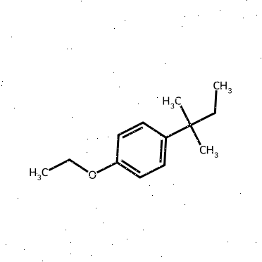 CCOc1ccc(C(C)(C)CC)cc1